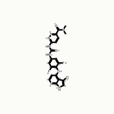 CN(C)C(=O)c1ccc(NC(=O)Nc2cc(F)c(Oc3ccnc4[nH]cc(Cl)c34)c(F)c2)nn1